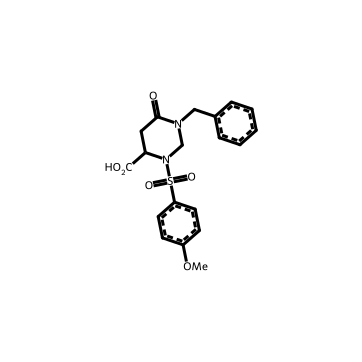 COc1ccc(S(=O)(=O)N2CN(Cc3ccccc3)C(=O)CC2C(=O)O)cc1